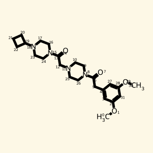 COc1cc(CC(=O)N2CCN(CC(=O)N3CCN(C4CCC4)CC3)CC2)cc(OC)c1